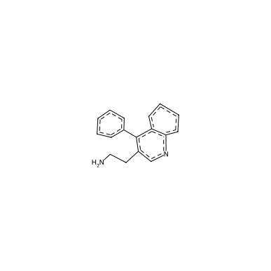 NCCc1cnc2ccccc2c1-c1ccccc1